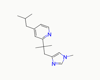 CC(C)Cc1ccnc(C(C)(C)Cc2cn(C)cn2)c1